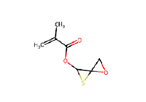 C=C(C)C(=O)OC1SC12CO2